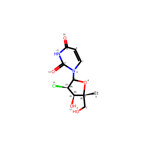 CC[C@]1(CO)OC(n2ccc(=O)[nH]c2=O)[C@H](Cl)[C@@H]1O